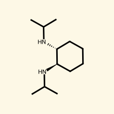 CC(C)N[C@@H]1CCCC[C@H]1NC(C)C